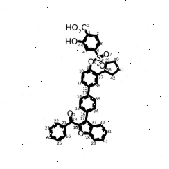 O=C(O)c1ccc(S(=O)(=O)Oc2ccc(-c3ccc(-c4c(C(=O)c5ccccc5)oc5ccccc45)cc3)cc2C2CCCC2)cc1O